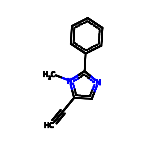 C#Cc1cnc(-c2ccccc2)n1C